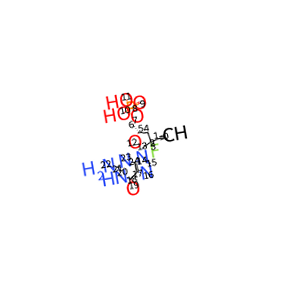 C#C[C@@]1(F)C[C@@H](COP(=O)(O)O)O[C@H]1n1cnc2c(=O)[nH]c(N)nc21